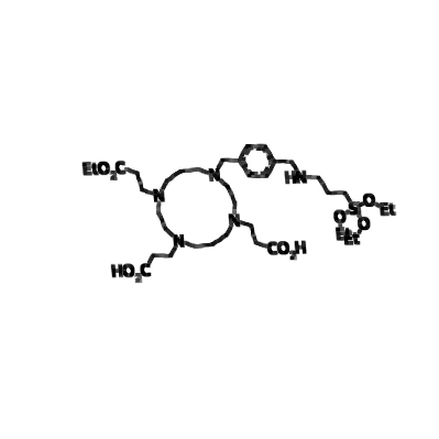 CCOC(=O)CCN1CCCN(Cc2ccc(CNCCC[Si](OCC)(OCC)OCC)cc2)CCN(CCC(=O)O)CCCN(CCC(=O)O)CC1